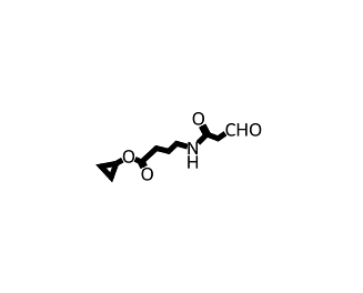 O=CCC(=O)NCCCC(=O)OC1CC1